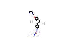 CC(Cc1ccc(OCc2ccccn2)cc1)C(C)c1ccc(-c2noc(C(C)(C)N)n2)cc1